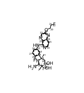 CC1(C)C(N)=N[C@](C)(c2cc(Nc3nccc4nc(OCCF)cnc34)ccc2F)CS1(O)O